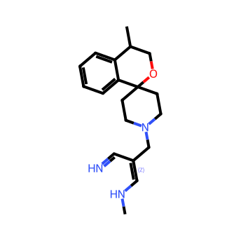 CN/C=C(\C=N)CN1CCC2(CC1)OCC(C)c1ccccc12